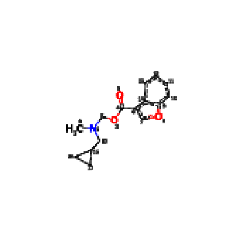 CN(COC(=O)c1coc2ccccc12)CC1CC1